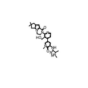 CC1C(Nc2cc(-c3ccnc(N4CCn5c(cc6c5CC(C)(C)C6)C4=O)c3CO)cn(C)c2=O)N=NN1C